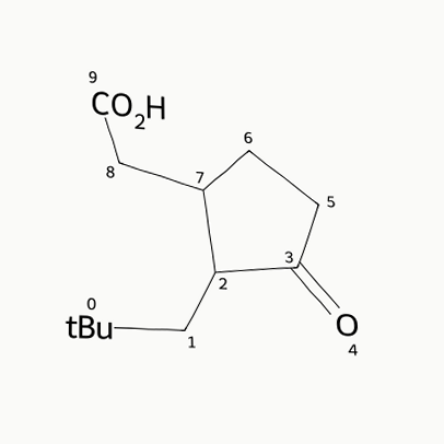 CC(C)(C)CC1C(=O)CCC1CC(=O)O